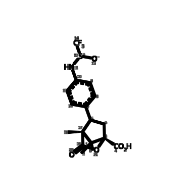 CC1(C)[C@]2(C(=O)O)CC(c3ccc(N[S+]([O-])C(F)(F)F)cc3)[C@@]1(C)C(=O)O2